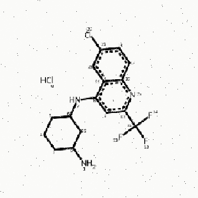 Cl.NC1CCCC(Nc2cc(C(F)(F)F)nc3ccc(Cl)cc23)C1